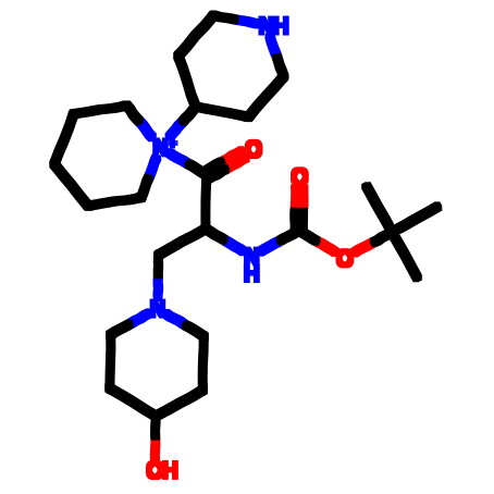 CC(C)(C)OC(=O)NC(CN1CCC(O)CC1)C(=O)[N+]1(C2CCNCC2)CCCCC1